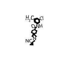 Cc1cc(Cl)cc(NC(=O)C2CCC3(CC2)CN(CC2(C#N)CC2)C3)c1